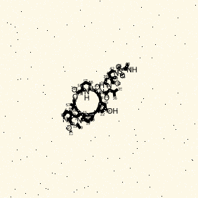 CCn1c(-c2cccnc2[C@H](C)OC)c2c3cc(ccc31)-c1cc(O)cc(c1)C[C@H](NC(=O)C(C(C)C)N1CC[C@]3(CCN(S(=O)(=O)[C@@H]4CN4)C3)C1=O)C(=O)N1CCC[C@H](N1)C(=O)OCC(C)(C)C2